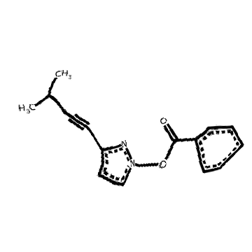 CC(C)C#Cc1ccn(OC(=O)c2ccccc2)n1